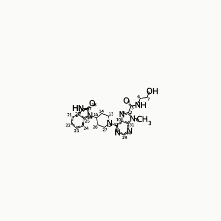 Cn1c(C(=O)NCCO)nc2c(N3CCC(n4c(=O)[nH]c5ccccc54)CC3)ncnc21